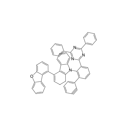 c1cccc(-c2cccc(-c3nc(-c4ccccc4)nc(-c4ccccc4)n3)c2-n2c3c(c4ccccc42)C(c2cccc4oc5ccccc5c24)=CCC3)c#1